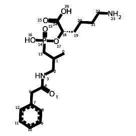 CC(CNC(=O)Cc1ccccc1)CP(=O)(O)O[C@@H](CCCCN)C(=O)O